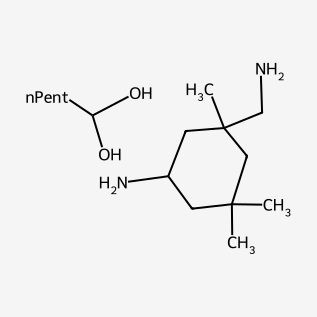 CC1(C)CC(N)CC(C)(CN)C1.CCCCCC(O)O